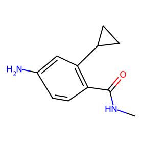 CNC(=O)c1ccc(N)cc1C1CC1